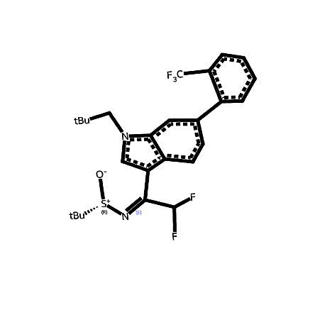 CC(C)(C)Cn1cc(/C(=N\[S@@+]([O-])C(C)(C)C)C(F)F)c2ccc(-c3ccccc3C(F)(F)F)cc21